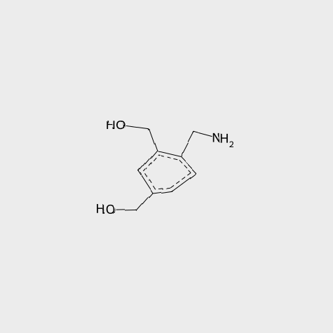 NCc1ccc(CO)cc1CO